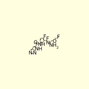 N/C(COCCF)=N/[C@H](F)c1cc(NC(=O)c2cc3cncnc3[nH]2)ccc1F